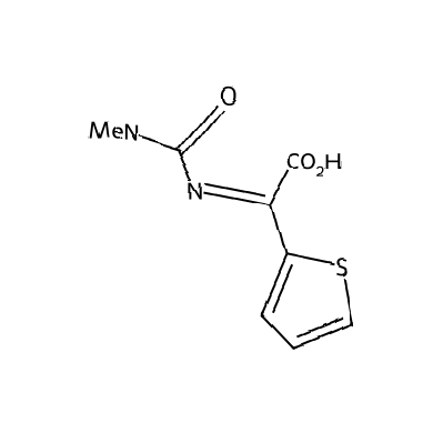 CNC(=O)N=C(C(=O)O)c1cccs1